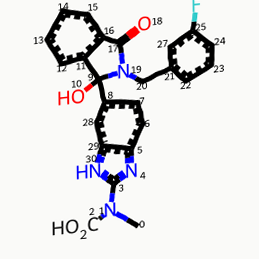 CN(C(=O)O)c1nc2ccc(C3(O)c4ccccc4C(=O)N3Cc3cccc(F)c3)cc2[nH]1